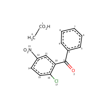 CC(=O)O.O=C(c1ccccc1)c1cc([N+](=O)[O-])ccc1Cl